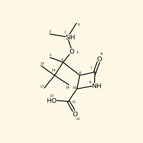 C[SiH](C)OC(C)(C1C(=O)NC1C(=O)O)C(C)(C)C